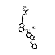 CC(C)(C)OC(=O)NCC#Cc1cc2ncnc(Nc3ccc4c(cnn4Cc4ccccc4)c3)c2s1.Cl